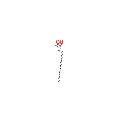 CCCCCCCC/C=C/CCCCCCCCC(C)CC(C)CC(C)CC(C)C(=O)O